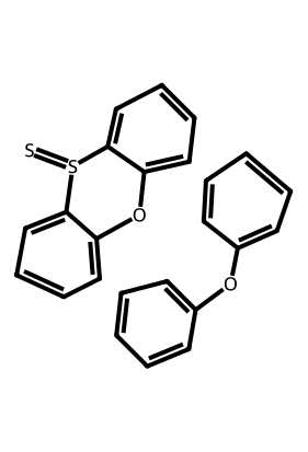 S=S1c2ccccc2Oc2ccccc21.c1ccc(Oc2ccccc2)cc1